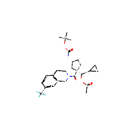 CC(=O)OC(C1CC1)[C@]1(C(=O)N2CCc3ccc(C(F)(F)F)cc3C2)CC[C@@H](NC(=O)OC(C)(C)C)C1